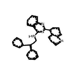 c1ccc(C(CNc2nc(-c3cccc4ncccc34)nc3ccccc23)c2ccccc2)cc1